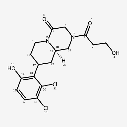 O=C(CCO)N1CC(=O)N2CCC(c3c(O)ccc(Cl)c3Cl)C[C@@H]2C1